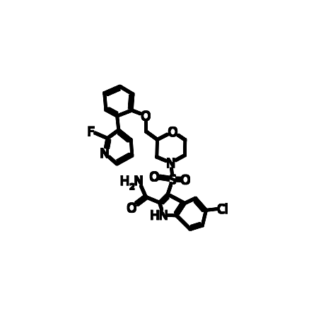 NC(=O)c1[nH]c2ccc(Cl)cc2c1S(=O)(=O)N1CCOC(COc2ccccc2-c2cccnc2F)C1